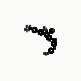 C=C(C)N1CCC(c2cnc(-c3cc4cnc(Nc5ccc(OC6CCN(C)CC6)cc5)nc4n(C4CCOC4)c3=O)c(C)c2)CC1